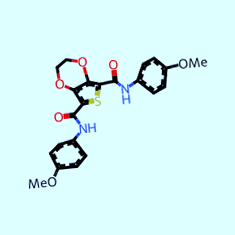 COc1ccc(NC(=O)c2sc(C(=O)Nc3ccc(OC)cc3)c3c2OCCO3)cc1